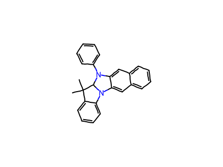 CC1(C)c2ccccc2N2c3cc4ccccc4cc3N(c3ccccc3)C21